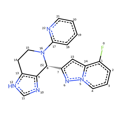 Fc1cccn2nc([C@@H]3c4nc[nH]c4CCN3c3ccccn3)cc12